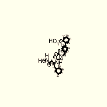 CCCCC(=O)N(CC(=O)NC(CC(=O)NO)Cc1ccccc1)Cc1ccc(-c2ccccc2C(=O)O)cc1